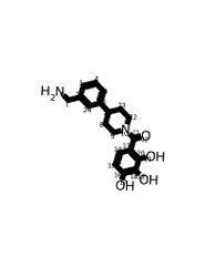 NCc1cccc(C2CCN(C(=O)c3ccc(O)c(O)c3O)CC2)c1